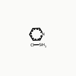 [SiH3]Cl.c1ccncc1